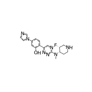 CN(c1ncc(-c2ccc(-n3ccnc3)cc2O)nn1)[C@H]1CCNC[C@H]1F